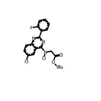 CC(C)(C)OC(=O)CN(Cl)c1nc(-c2ccccc2F)nc2ccc(Cl)cc12